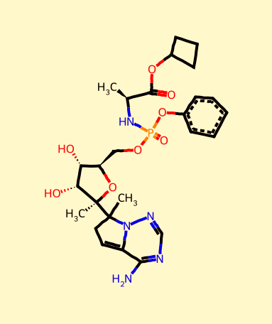 C[C@H](NP(=O)(OC[C@H]1O[C@@](C)(C2(C)CC=C3C(N)=NC=NN32)[C@H](O)[C@@H]1O)Oc1ccccc1)C(=O)OC1CCC1